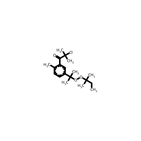 CCC(C)(C)OOC(C)(C)c1ccc(C)c(C(=O)C(C)(C)Cl)c1